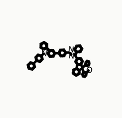 c1ccc(-c2ccc(-n3c4ccccc4c4cc(-c5ccc(-c6nc(-c7ccc8c(c7)-c7ccccc7C87c8ccccc8Oc8ccccc87)c7ccccc7n6)cc5)ccc43)cc2)cc1